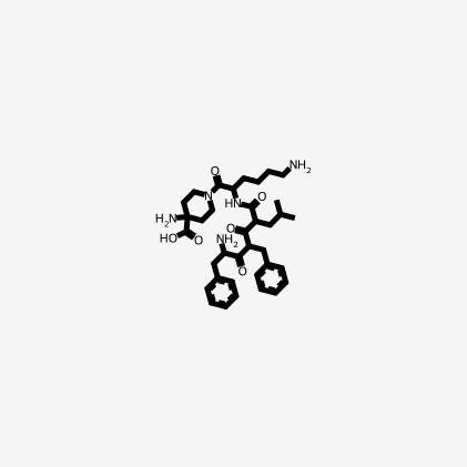 CC(C)CC(C(=O)NC(CCCCN)C(=O)N1CCC(N)(C(=O)O)CC1)C(=O)C(Cc1ccccc1)C(=O)C(N)Cc1ccccc1